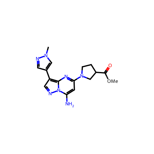 COC(=O)C1CCN(c2cc(N)n3ncc(-c4cnn(C)c4)c3n2)C1